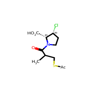 CC(=O)SCC(C)C(=O)N1CC[C@@H](Cl)[C@H]1C(=O)O